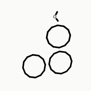 C1CCCCCCCCCCC1.C1CCCCCCCCCCC1.C1CCCCCCCCCCC1.COC